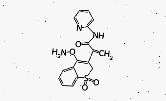 C=C(C(=O)Nc1ccccn1)C1=C(ON)c2ccccc2S(=O)(=O)C1